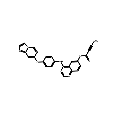 CC#CC(=O)Nc1ccc2ncnc(Nc3ccc(Oc4cc5nccn5cn4)cc3)c2c1